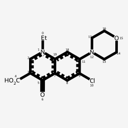 CCn1cc(C(=O)O)c(=O)c2cc(Cl)c(N3CCOCC3)cc21